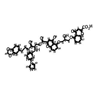 O=C(O)c1cc(=O)c2c(OCC(O)COc3cccc4oc(C(=O)OCC(Nc5ccnc(-n6ccnc6)n5)C(=O)NCCc5ccc6c(c5)OCO6)cc(=O)c34)cccc2o1